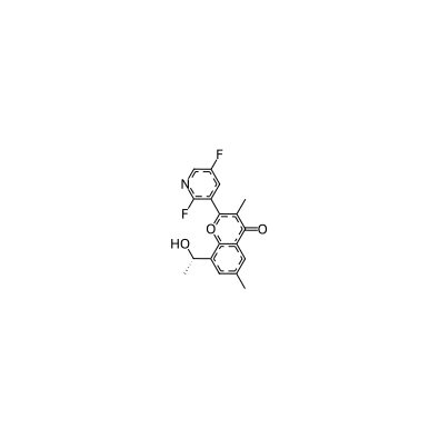 Cc1cc([C@H](C)O)c2oc(-c3cc(F)cnc3F)c(C)c(=O)c2c1